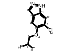 FC(F)COc1cc2cn[nH]c2cc1Cl